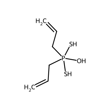 C=CCP(O)(S)(S)CC=C